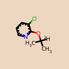 [2H]C(C)(C)Oc1ncccc1Cl